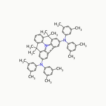 Cc1cc(C)cc(N(c2cc(C)cc(C)c2)c2cc3c4c(c2)c2cc(N(c5cc(C)cc(C)c5)c5cc(C)cc(C)c5)cc5c2n4-c2c(cccc2C5(C)C)C3(C)C)c1